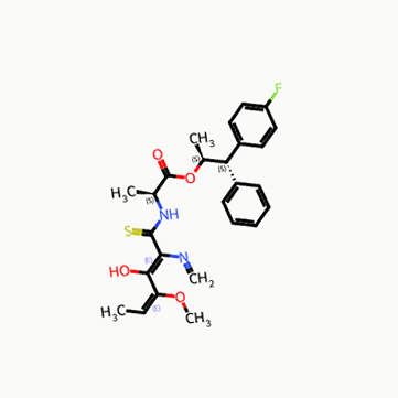 C=N/C(C(=S)N[C@@H](C)C(=O)O[C@@H](C)[C@@H](c1ccccc1)c1ccc(F)cc1)=C(O)\C(=C/C)OC